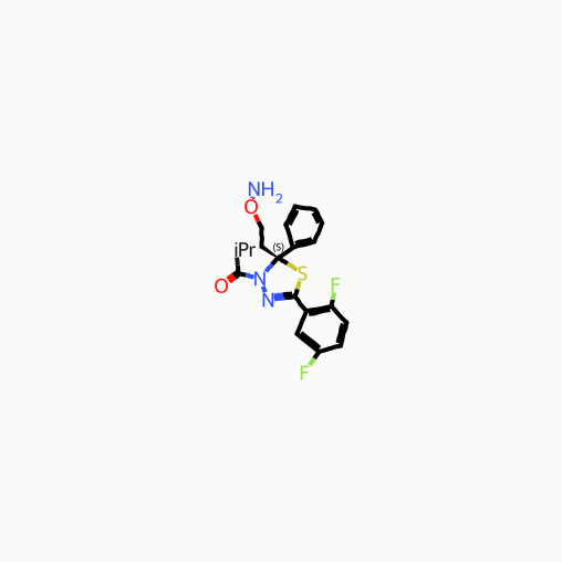 CC(C)C(=O)N1N=C(c2cc(F)ccc2F)S[C@@]1(CCON)c1ccccc1